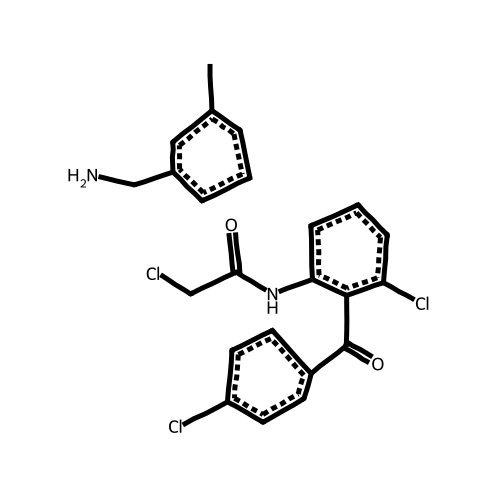 Cc1cccc(CN)c1.O=C(CCl)Nc1cccc(Cl)c1C(=O)c1ccc(Cl)cc1